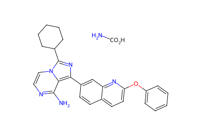 NC(=O)O.Nc1nccn2c(C3CCCCC3)nc(-c3ccc4ccc(Oc5ccccc5)nc4c3)c12